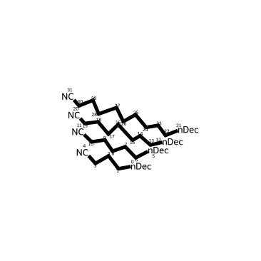 CCCCCCCCCCCCCC#N.CCCCCCCCCCCCCCCC#N.CCCCCCCCCCCCCCCCCC#N.CCCCCCCCCCCCCCCCCCCC#N